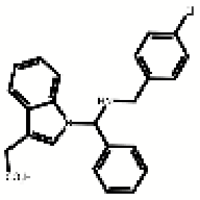 O=C(O)Cc1cn(C(NCc2ccc(Cl)cc2)c2ccccc2)c2ccccc12